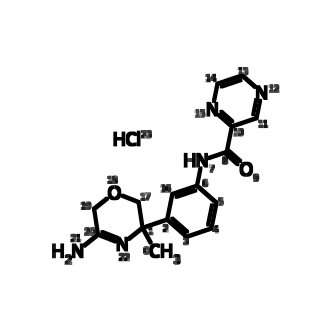 CC1(c2cccc(NC(=O)c3cnccn3)c2)COCC(N)=N1.Cl